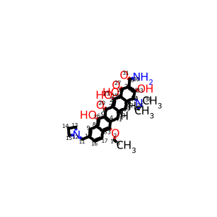 CCOc1c2c(c(O)c3cc(CN4CCC4)ccc13)C(=O)C1=C(O)[C@]3(O)C(=O)C(C(N)=O)=C(O)[C@@H](N(C)C)[C@@H]3C[C@@H]1C2